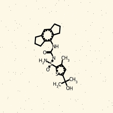 Cc1cc(C(C)(C)O)sc1S(N)(=O)=NC(=O)Nc1c2c(cc3c1CCC3)CCC2